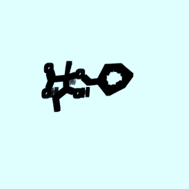 CCC(O)[C@@](C)(OCc1ccccc1)C(=O)O